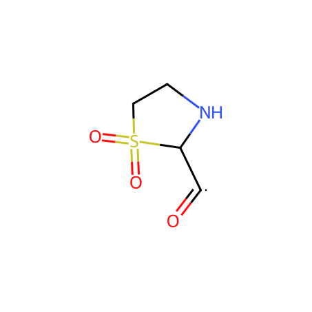 O=[C]C1NCCS1(=O)=O